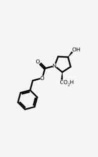 O=C(O)[C@@H]1C[C@H](O)CN1C(=O)OCc1ccccc1